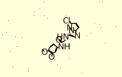 COc1ccc(NC(=O)CNc2cnc3ccc(Cl)nn23)cc1OC